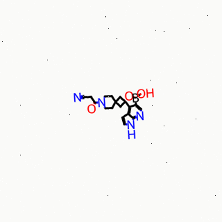 N#CCC(=O)N1CCC2(CC1)CC1(C2)OB(O)c2cnc3[nH]ccc3c21